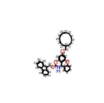 O=C(NC1c2ccccc2Oc2cc(OCC3CCCCCCCCCCC3)ccc21)OCC1c2ccccc2-c2ccccc21